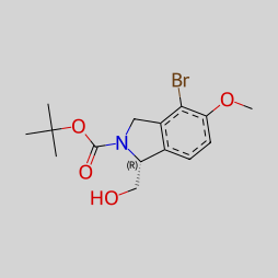 COc1ccc2c(c1Br)CN(C(=O)OC(C)(C)C)[C@H]2CO